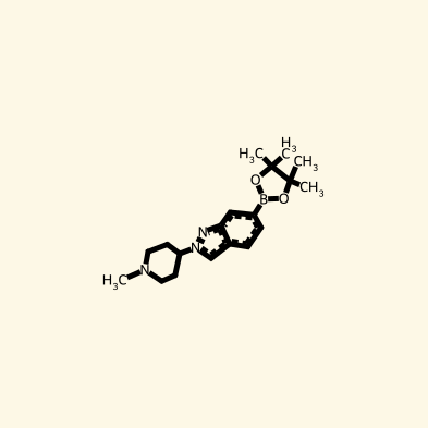 CN1CCC(n2cc3ccc(B4OC(C)(C)C(C)(C)O4)cc3n2)CC1